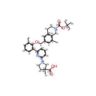 Cc1cc(COc2c(C)cccc2-c2cccc(N3CC[C@@](C)(C(=O)O)C3)n2)cc2c1CN(C(=O)OC(C)(C)C)CC2